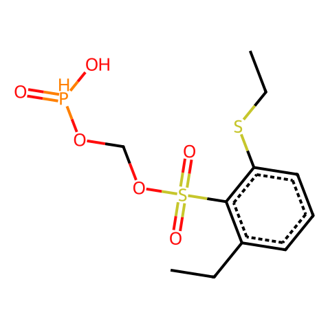 CCSc1cccc(CC)c1S(=O)(=O)OCO[PH](=O)O